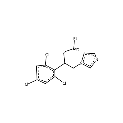 CCC(=O)SC(Cn1ccnc1)c1c(Cl)cc(Cl)cc1Cl